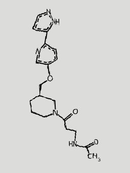 CC(=O)NCCC(=O)N1CCC[C@@H](COc2ccc(-c3ccn[nH]3)nc2)C1